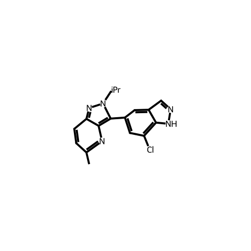 Cc1ccc2nn(C(C)C)c(-c3cc(Cl)c4[nH]ncc4c3)c2n1